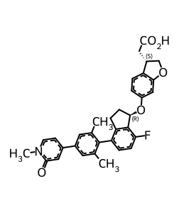 Cc1cc(-c2ccn(C)c(=O)c2)cc(C)c1-c1ccc(F)c2c1CC[C@H]2Oc1ccc2c(c1)OC[C@H]2CC(=O)O